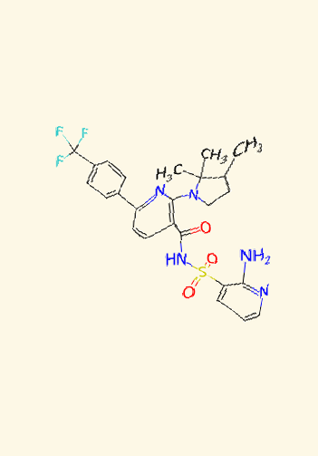 CC1CCN(c2nc(-c3ccc(C(F)(F)F)cc3)ccc2C(=O)NS(=O)(=O)c2cccnc2N)C1(C)C